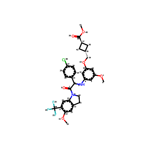 COc1cc(NC(C(=O)N2CCc3cc(OC)c(C(F)(F)F)cc32)c2ccc(Cl)cc2)cc(OC[C@H]2C[C@H](C(=O)OC)C2)c1